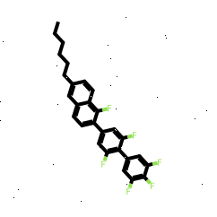 CCCCCCc1ccc2c(F)c(-c3cc(F)c(-c4cc(F)c(F)c(F)c4)c(F)c3)ccc2c1